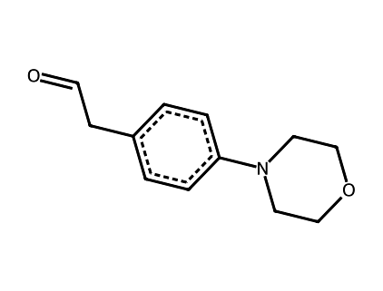 O=CCc1ccc(N2CCOCC2)cc1